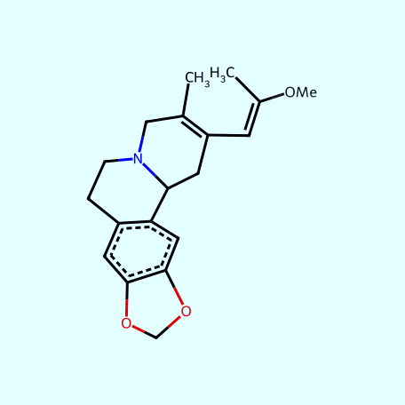 CO/C(C)=C/C1=C(C)CN2CCc3cc4c(cc3C2C1)OCO4